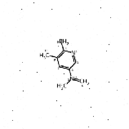 Bc1ncc([N+](=C)C)cc1C